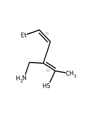 CC/C=C\C(CN)=C(/C)S